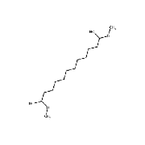 COC(O)CCCCCCCCCCC(O)OC